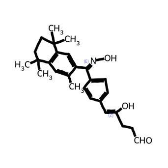 Cc1cc2c(cc1/C(=N/O)c1ccc(/C=C(\O)CCC=O)cc1)C(C)(C)CCC2(C)C